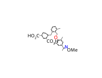 CON=C(C)c1cc(C)c(OCc2c(C)cccc2Cc2ccc(C(=O)O)cc2C(=O)O)c(C)c1